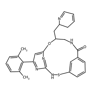 Cc1cccc(C)c1-c1cc2nc(n1)NSc1cccc(c1)C(=O)NCC(CC1CC=CC=N1)O2